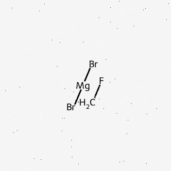 [Br][Mg][Br].[CH2]F